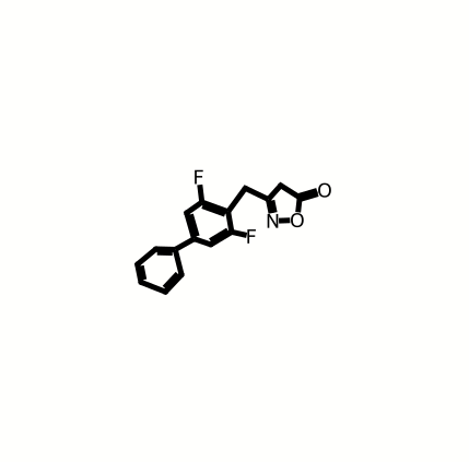 O=C1CC(Cc2c(F)cc(-c3ccccc3)cc2F)=NO1